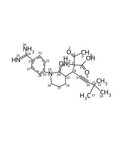 CC(=O)C(N)(C(=O)O)C(C#CC(C)(C)C)C1CCCN(c2ccc(C(=N)N)cc2)C1=O